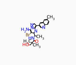 Cc1ccc2ncc(-c3cnn4c(N)c(Br)c(C(C)NC(=O)C(C)(C)CO)nc34)cc2c1